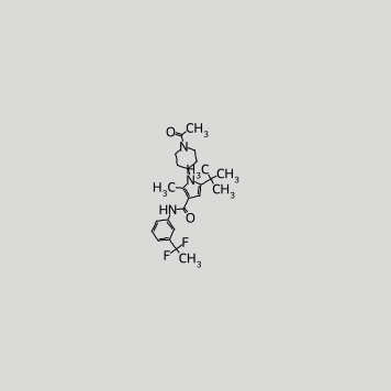 CC(=O)N1CCC(n2c(C(C)(C)C)cc(C(=O)Nc3cccc(C(C)(F)F)c3)c2C)CC1